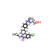 C#CCN(C(=O)c1ccc(Cl)cc1)[C@H]1CC[C@H](c2ccc(CN(C)CCCO)cc2)CC1